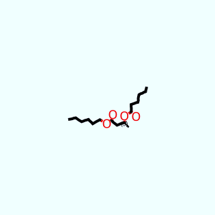 CCCCCCOC(=O)C[C@H](C)OC(=O)CCCCC